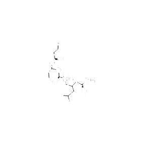 CCCC(=O)OC(CC)OC(=O)NCC(CC(=O)O)CC(C)C